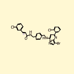 O=C(/C=C/c1cccc(Cl)c1)NCc1ccc(CNc2cc(-c3ccccc3Cl)nc3c(Br)cnn23)cc1